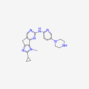 Cn1c(C2CC2)nc2c1-c1nc(Nc3ccc(N4CCNCC4)cn3)ncc1C2